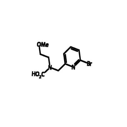 COCCN(Cc1cccc(Br)n1)C(=O)O